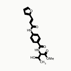 COC(=O)C(NC(=O)c1ccc(NC(=O)/C=C/c2ccco2)cc1)C(C)O